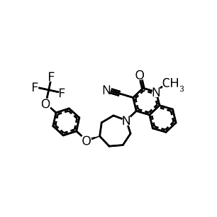 Cn1c(=O)c(C#N)c(N2CCC[C@@H](Oc3ccc(OC(F)(F)F)cc3)CC2)c2ccccc21